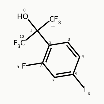 OC(c1ccc(I)cc1F)(C(F)(F)F)C(F)(F)F